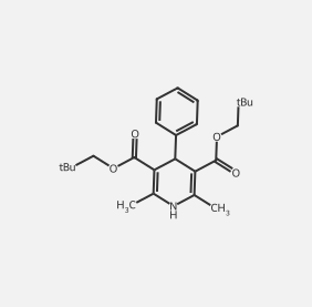 CC1=C(C(=O)OCC(C)(C)C)C(c2ccccc2)C(C(=O)OCC(C)(C)C)=C(C)N1